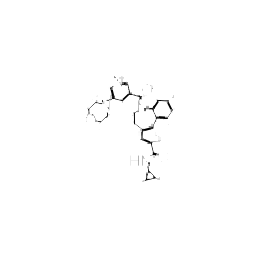 O=C(NC1CC1)c1cc2c(s1)-c1ccccc1N(C(=O)c1cncc(N3CCOCC3)c1)CC2